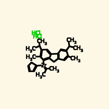 C[C](C)=[Zr]([C]1=CC=CC1)[c]1c(C)c(C(C)C)cc2c1Cc1cc(C)c(C(C)C)cc1-2.Cl.Cl